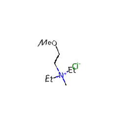 CC[N+](C)(CC)CCOC.[Cl-]